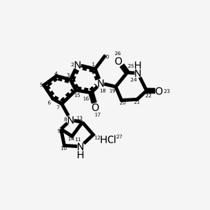 Cc1nc2cccc(N3C4CNCC3C4)c2c(=O)n1C1CCC(=O)NC1=O.Cl